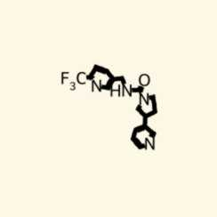 O=C(NCc1ccc(C(F)(F)F)nc1)N1CCC(c2cccnc2)C1